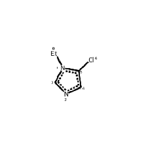 CCn1[c]n[c]c1Cl